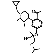 CC(=O)c1ccc(OC(C)(S)COC(C)C)cc1[C@@H]1CCN(CC2CC2)[C@H](C)[C@@H]1C